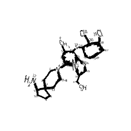 Cc1cc(N2CCC3(CCCC3N)CC2)n2c(CO)cnc2c1Sc1cccc(Cl)c1Cl